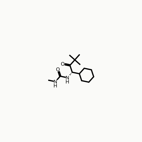 CNC(=O)N[C@H](C(=O)C(C)(C)C)C1CCCCC1